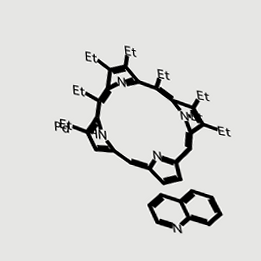 CCC1=C(CC)c2nc1c(CC)c1[nH]c(cc3nc(cc4c(CC)c(CC)c(c2CC)n4CC)C=C3)cc1CC.[Pd].c1ccc2ncccc2c1